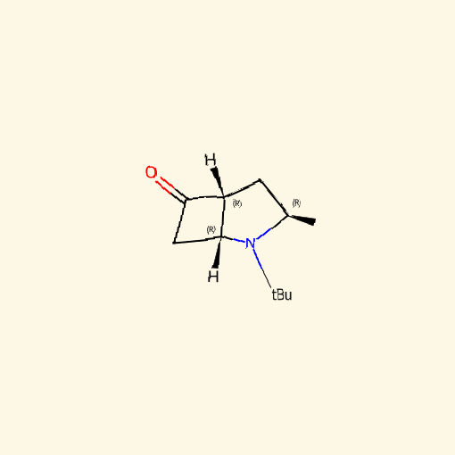 C[C@@H]1C[C@H]2C(=O)C[C@H]2N1C(C)(C)C